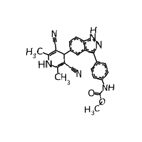 COC(=O)Nc1ccc(-c2n[nH]c3ccc(C4C(C#N)=C(C)NC(C)=C4C#N)cc23)cc1